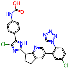 O=C(O)Nc1ccc(-c2[nH]c(C3CCc4cc(-c5cc(Cl)ccc5-n5cnnn5)cnc43)nc2Cl)cc1